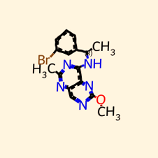 COc1ncc2nc(C)nc(N[C@H](C)c3cccc(Br)c3)c2n1